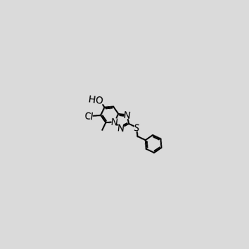 Cc1c(Cl)c(O)cc2nc(SCc3ccccc3)nn12